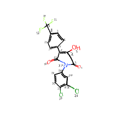 O=C1C(O)=C(c2ccc(C(F)(F)F)cc2)C(=O)N1c1ccc(Cl)c(Cl)c1